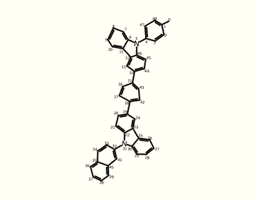 Cc1ccc(-n2c3ccccc3c3cc(-c4ccc(-c5ccc6c(c5)c5ccccc5n6-c5ccc6ccccc6c5)cc4)ccc32)cc1